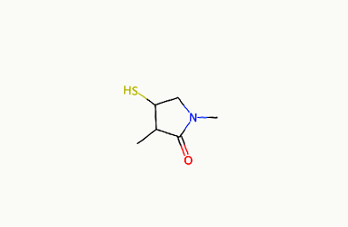 CC1C(=O)N(C)CC1S